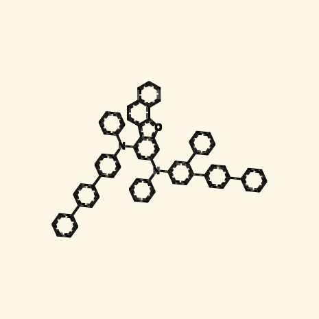 c1ccc(-c2ccc(-c3ccc(N(c4ccccc4)c4cc(N(c5ccccc5)c5ccc(-c6ccc(-c7ccccc7)cc6)c(-c6ccccc6)c5)cc5oc6c7ccccc7ccc6c45)cc3)cc2)cc1